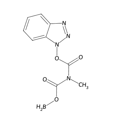 BOC(=O)N(C)C(=O)On1nnc2ccccc21